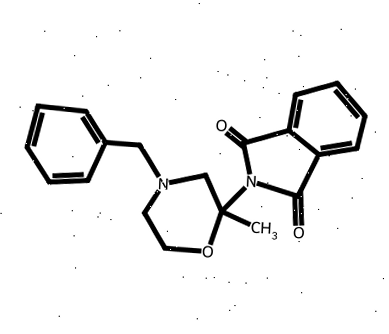 CC1(N2C(=O)c3ccccc3C2=O)CN(Cc2ccccc2)CCO1